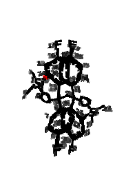 C[Si](C)(C)OC(c1ccc(F)cc1)(c1ccc(F)cc1)C(O[Si](C)(C)C)(c1ccc(F)cc1)c1ccc(F)cc1